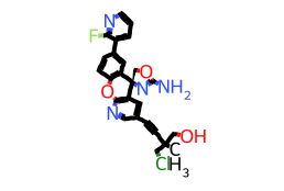 CC(C#Cc1cnc2c(c1)[C@]1(COC(N)=N1)c1cc(-c3cccnc3F)ccc1O2)(CO)CCl